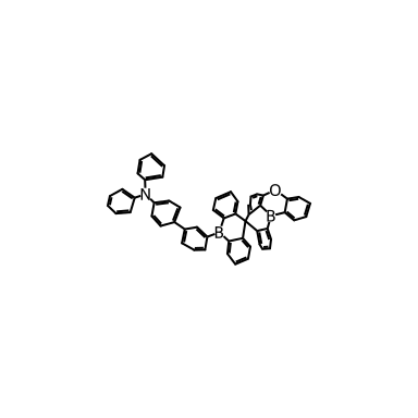 c1ccc(N(c2ccccc2)c2ccc(-c3cccc(B4c5ccccc5C5(c6ccccc64)c4ccccc4B4c6ccccc6Oc6cccc5c64)c3)cc2)cc1